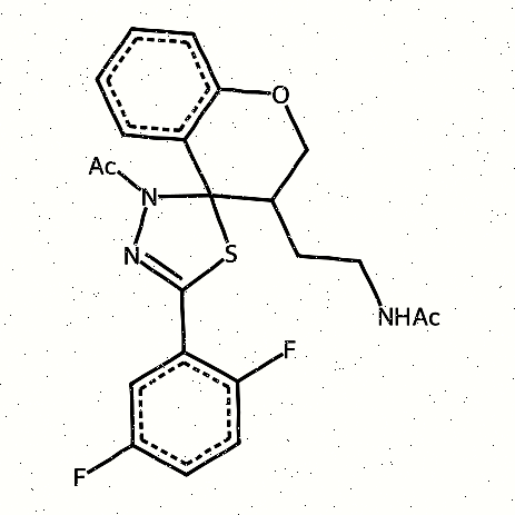 CC(=O)NCCC1COc2ccccc2C12SC(c1cc(F)ccc1F)=NN2C(C)=O